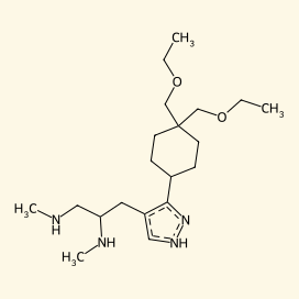 CCOCC1(COCC)CCC(c2n[nH]cc2CC(CNC)NC)CC1